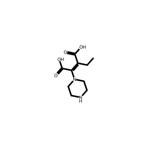 CC/C(C(=O)O)=C(/C(=O)O)N1CCNCC1